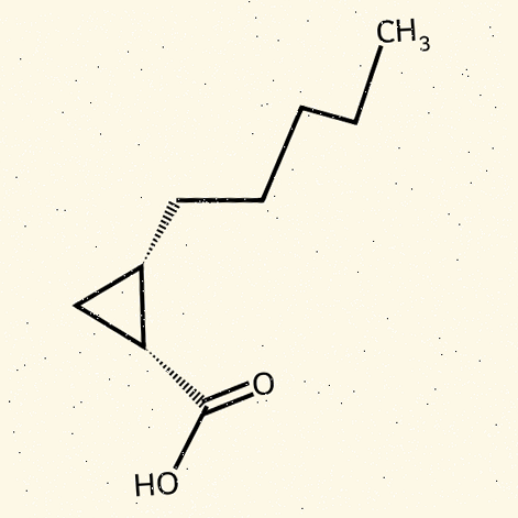 CCCCC[C@H]1C[C@H]1C(=O)O